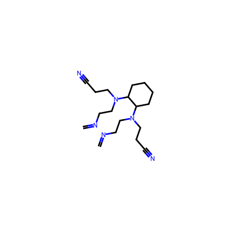 C=NCCN(CCC#N)C1CCCCC1N(CCC#N)CCN=C